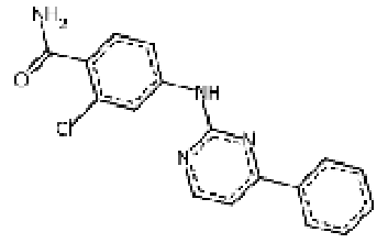 NC(=O)c1ccc(Nc2nccc(-c3ccccc3)n2)cc1Cl